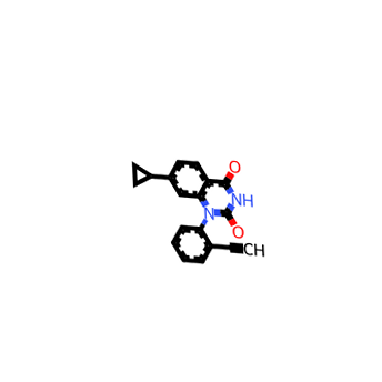 C#Cc1ccccc1-n1c(=O)[nH]c(=O)c2ccc(C3CC3)cc21